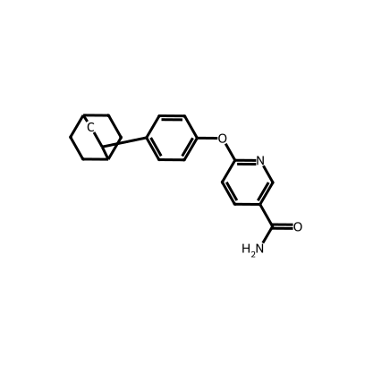 NC(=O)c1ccc(Oc2ccc(C3CC4CCC3CC4)cc2)nc1